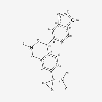 CN1Cc2cc(C3(N(C)C)CC3)ccc2C(c2ccc3occc3c2)C1